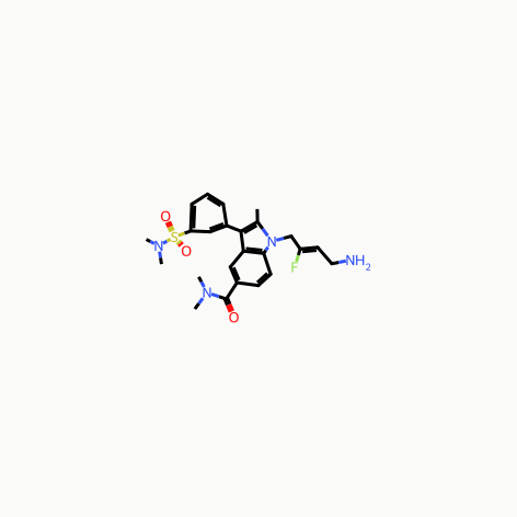 Cc1c(-c2cccc(S(=O)(=O)N(C)C)c2)c2cc(C(=O)N(C)C)ccc2n1C/C(F)=C/CN